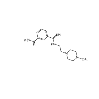 CN1CCN(CCNC(=N)c2cccc(NN)c2)CC1